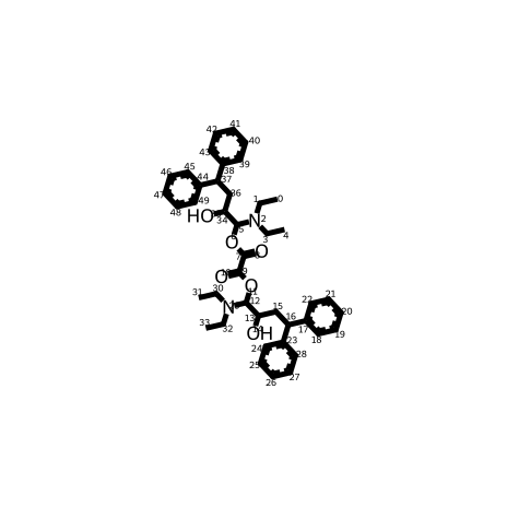 CCN(CC)C(OC(=O)C(=O)OC(C(O)CC(c1ccccc1)c1ccccc1)N(CC)CC)C(O)CC(c1ccccc1)c1ccccc1